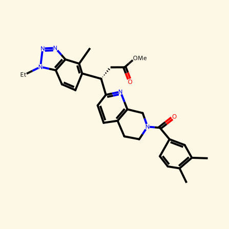 CCn1nnc2c(C)c([C@H](CC(=O)OC)c3ccc4c(n3)CN(C(=O)c3ccc(C)c(C)c3)CC4)ccc21